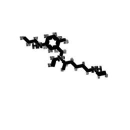 C=CNCCCCC(C)N(C=C)Cc1cc(NCCC)ccc1C